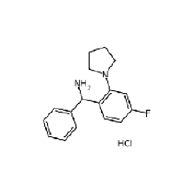 Cl.NC(c1ccccc1)c1ccc(F)cc1N1CCCC1